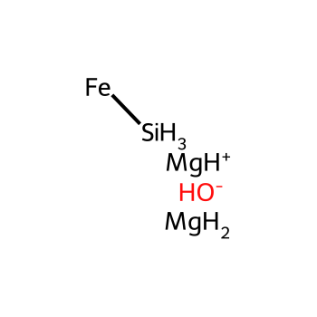 [MgH+].[MgH2].[OH-].[SiH3][Fe]